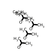 CC(C)[O-].CC(C)[O-].CC(C)[O-].CC(C)[O-].[GeH2+2].[GeH2+2]